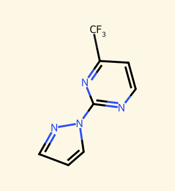 FC(F)(F)c1ccnc(-n2cccn2)n1